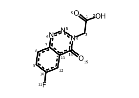 O=C(O)Cn1nnc2ccc(F)cc2c1=O